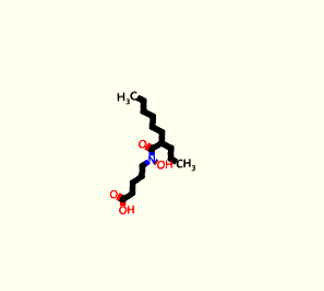 CCCCCCC(CCC)C(=O)N(O)CCCCC(=O)O